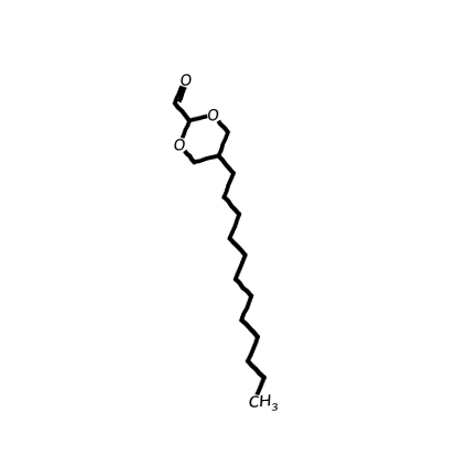 CCCCCCCCCCCCC1COC(C=O)OC1